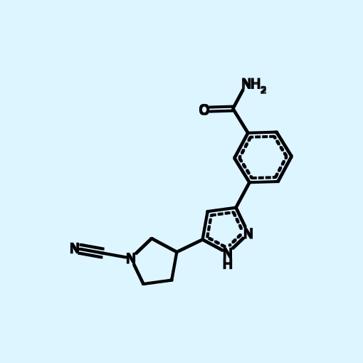 N#CN1CCC(c2cc(-c3cccc(C(N)=O)c3)n[nH]2)C1